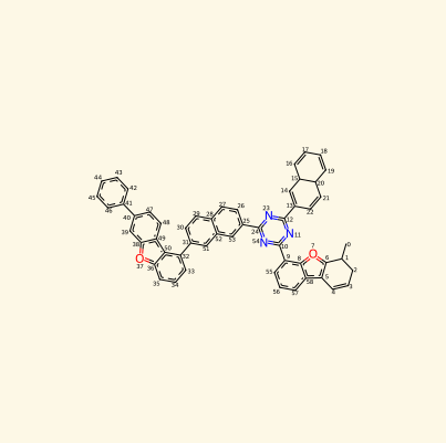 CC1CC=Cc2c1oc1c(-c3nc(C4=CC5C=CC=CC5C=C4)nc(-c4ccc5ccc(-c6cccc7oc8cc(-c9ccccc9)ccc8c67)cc5c4)n3)cccc21